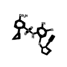 C#CC1CCCC1Oc1cc(Cl)c(C#N)cc1NS(=O)(=O)c1cc(C(=O)O)ccc1C1CC1